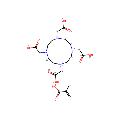 C=C(C)C(=O)O.O=C(O)CN1CCN(CC(=O)O)CCN(CC(=O)O)CCN(CC(=O)O)CC1